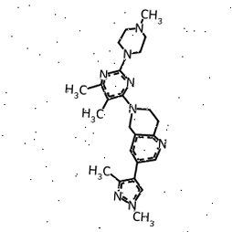 Cc1nn(C)cc1-c1cnc2c(c1)CN(c1nc(N3CCN(C)CC3)nc(C)c1C)CC2